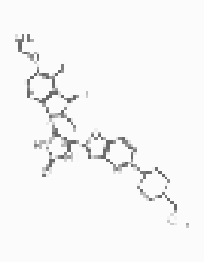 CCOc1ccc2c(c1F)C(=O)N(C[C@]1(c3cc4nc(N5CCN(CC)CC5)ccc4o3)NC(=O)NC1=O)C2